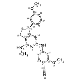 CNc1nc(Nc2ccc(C#N)c(OC)c2)nc2c1CC[C@H]2c1cccc(OC)c1